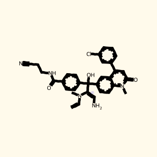 C=CN(C)/C(=C\N)C(O)(c1ccc(C(=O)NCCC#N)cc1)c1ccc2c(c1)c(-c1cccc(Cl)c1)cc(=O)n2C